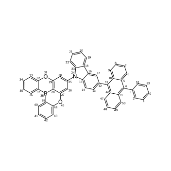 c1ccc(-c2c3ccccc3c(-c3ccc4c(c3)c3ccccc3n4-c3cc4c5c(c3)Oc3ccccc3B5c3ccccc3O4)c3ccccc23)cc1